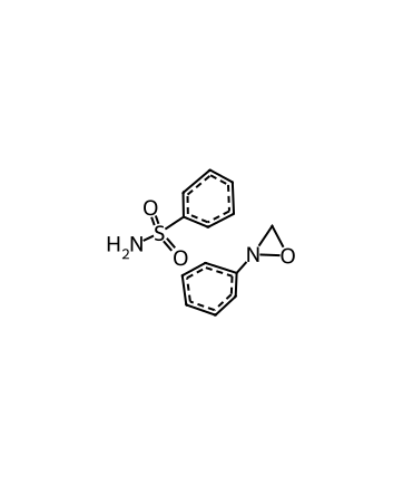 NS(=O)(=O)c1ccccc1.c1ccc(N2CO2)cc1